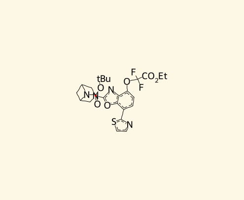 CCOC(=O)C(F)(F)Oc1ccc(-c2nccs2)c2oc(N3CC4CC(C3)N4C(=O)OC(C)(C)C)nc12